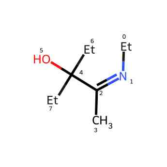 CCN=C(C)C(O)(CC)CC